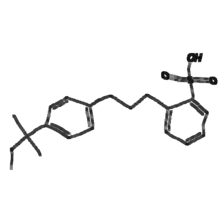 CCC(C)(C)c1ccc(CCCc2ccccc2S(=O)(=O)O)cc1